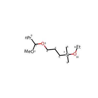 CCCC(OC)OCCC[Si](C)(C)OCC